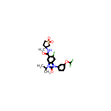 CC(C)n1c(=O)n(-c2cccc(OC(F)F)c2)c2cc(F)c(C(=O)N[C@@]3(C)CCS(=O)(=O)C3)cc21